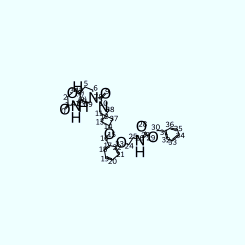 O=C1CO[C@H]2CCN(C(=O)N3CC4(CC(OCc5ccccc5OCCNC(=O)OCc5ccccc5)C4)C3)C[C@H]2N1